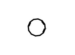 [C]1=CCCCCC=CCCC=C1